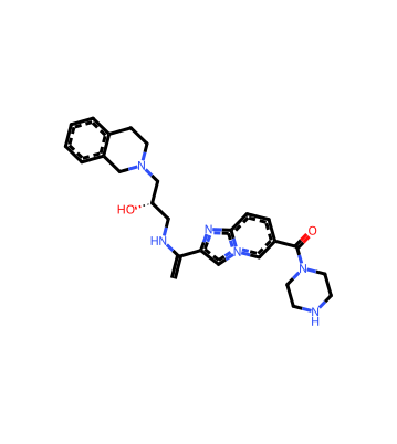 C=C(NC[C@H](O)CN1CCc2ccccc2C1)c1cn2cc(C(=O)N3CCNCC3)ccc2n1